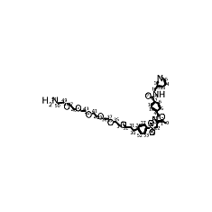 Cc1oc(-c2ccc(C(=O)NCc3cccnc3)cc2)nc1CS(=O)(=O)c1ccc(CCCOCCOCCOCCOCCOCCOCCN)cc1